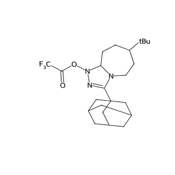 CC(C)(C)C1CCC2N(OC(=O)C(F)(F)F)N=C(C34CC5CC(CC(C5)C3)C4)N2CC1